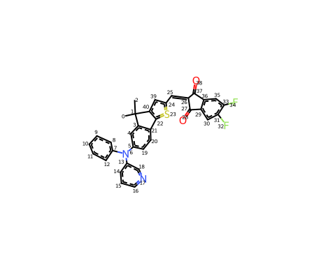 CC1(C)c2cc(N(c3ccccc3)c3cccnc3)ccc2-c2sc(C=C3C(=O)c4cc(F)c(F)cc4C3=O)cc21